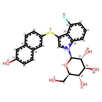 OC[C@H]1O[C@@H](n2cc(Sc3ccc4cc(O)ccc4c3)c3c(F)cccc32)[C@H](O)[C@@H](O)[C@@H]1O